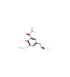 C=CCc1cc(OC)c(O)c(C(=O)CCl)c1